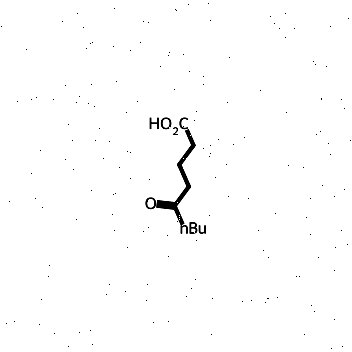 CCCCC(=O)CCCC(=O)O